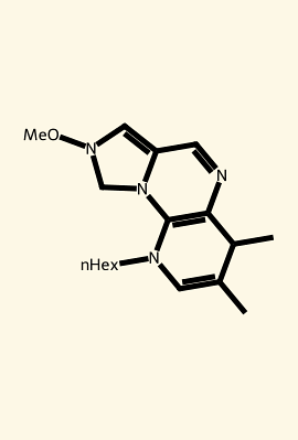 CCCCCCN1C=C(C)C(C)C2=C1N1CN(OC)C=C1C=N2